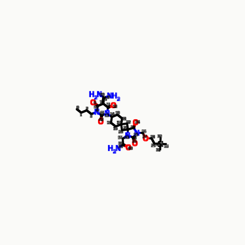 CCCCN1C(=O)C(=C(N)N)C(=O)N(C2CCC3(CC2)CC2(C3)C(=O)N(COCC[Si](C)(C)C)C(=O)N2CC(N)=O)C1=O